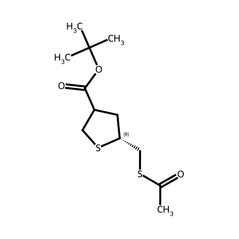 CC(=O)SC[C@H]1CC(C(=O)OC(C)(C)C)CS1